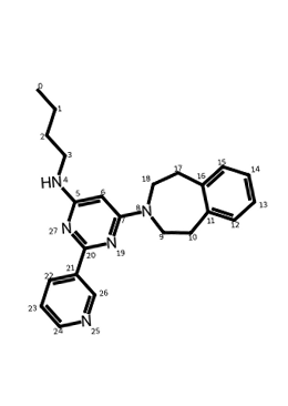 CCCCNc1cc(N2CCc3ccccc3CC2)nc(-c2cccnc2)n1